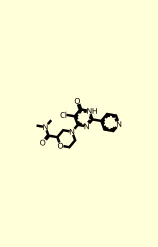 CN(C)C(=O)C1CN(c2nc(-c3ccncc3)[nH]c(=O)c2Cl)CCO1